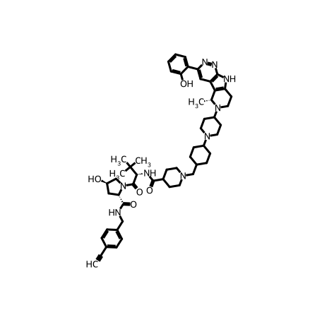 C#Cc1ccc(CNC(=O)[C@@H]2C[C@@H](O)CN2C(=O)[C@@H](NC(=O)C2CCN(CC3CCC(N4CCC(N5CCc6[nH]c7nnc(-c8ccccc8O)cc7c6[C@H]5C)CC4)CC3)CC2)C(C)(C)C)cc1